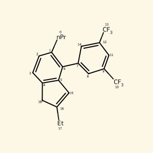 CCCc1ccc2c(c1-c1cc(C(F)(F)F)cc(C(F)(F)F)c1)C=C(CC)[CH]2